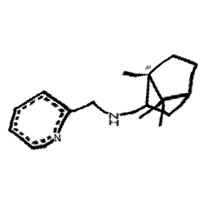 CC1(C)C2CC[C@@]1(C)C(NCc1ccccn1)C2